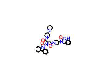 C=Cc1c(C=C)n(C(=O)N[C@@H](CC(=O)N2CCC(N3Cc4ccccc4NC3=O)CC2)C(=O)N2CCC(N3CCCCC3)CC2)c2ccccc12